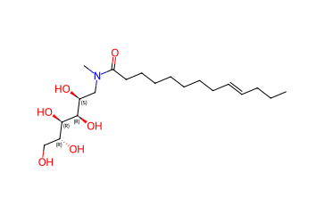 CCCC=CCCCCCCCC(=O)N(C)C[C@H](O)[C@@H](O)[C@H](O)[C@H](O)CO